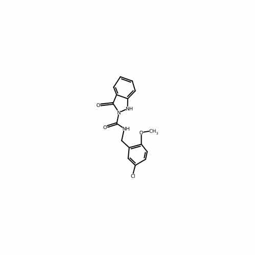 COc1ccc(Cl)cc1CNC(=O)n1[nH]c2ccccc2c1=O